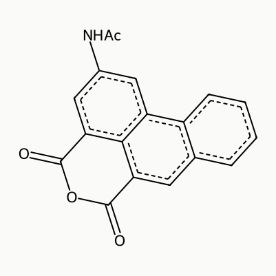 CC(=O)Nc1cc2c3c(cc4ccccc4c3c1)C(=O)OC2=O